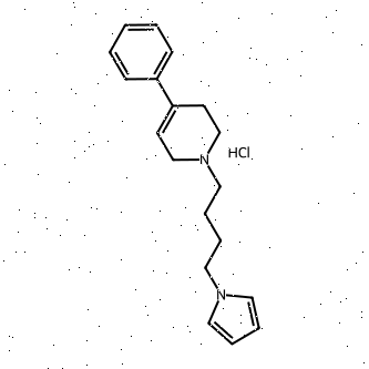 C1=C(c2ccccc2)CCN(CCCCn2cccc2)C1.Cl